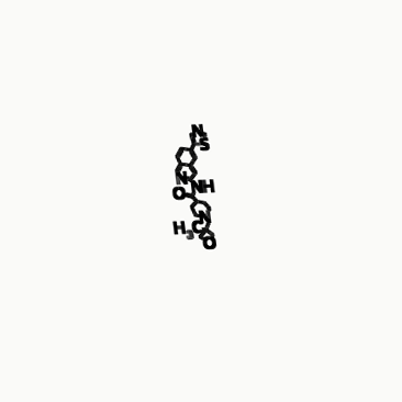 CC1(CN2CCC(C(=O)Nc3cc4cc(-c5cncs5)ccc4cn3)CC2)COC1